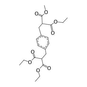 CCOC(=O)C(Cc1ccc(CC(C(=O)OCC)C(=O)OCC)cc1)C(=O)OC